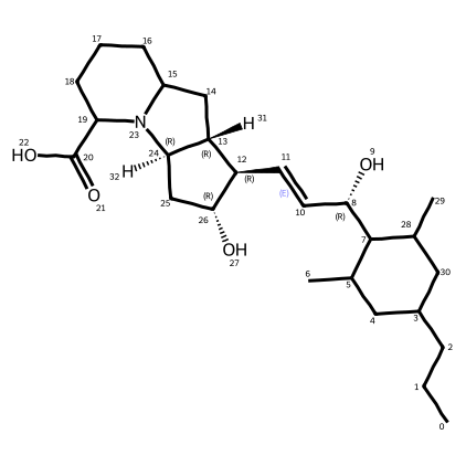 CCCC1CC(C)C([C@@H](O)/C=C/[C@@H]2[C@H]3CC4CCCC(C(=O)O)N4[C@@H]3C[C@H]2O)C(C)C1